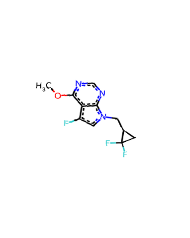 COc1ncnc2c1c(F)cn2CC1CC1(F)F